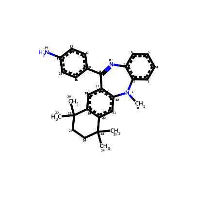 CN1c2ccccc2N=C(c2ccc(N)cc2)c2cc3c(cc21)C(C)(C)CCC3(C)C